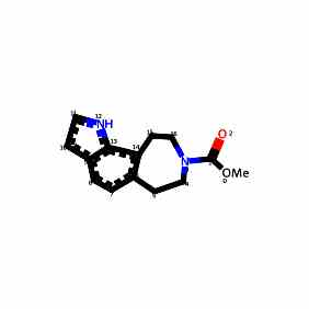 COC(=O)N1CCc2ccc3cc[nH]c3c2CC1